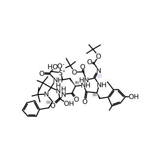 Cc1cc(O)cc(C)c1C[C@H](N/C(=N/C(=O)OC(C)(C)C)NC(=O)OC(C)(C)C)C(=O)N[C@H](CC[S+](C)[O-])C(=O)NC[C@H](Cc1ccccc1)N(C(C)(C)C)C(NC(=O)O)(NC(=O)O)C(C)(C)C